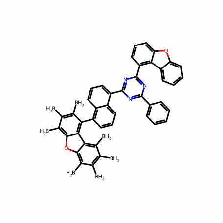 Bc1c(B)c(B)c2c(oc3c(B)c(B)c(B)c(-c4cccc5c(-c6nc(-c7ccccc7)nc(-c7cccc8oc9ccccc9c78)n6)cccc45)c32)c1B